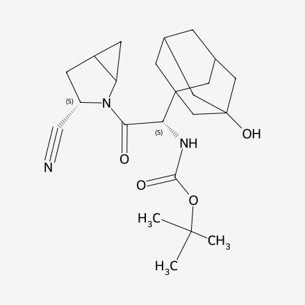 CC(C)(C)OC(=O)N[C@H](C(=O)N1C2CC2C[C@H]1C#N)C12CC3CC(CC(O)(C3)C1)C2